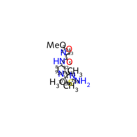 COc1nc(C(=O)Nc2ccnc([C@]3(C)CC(C)(C)SC(N)=N3)c2)co1